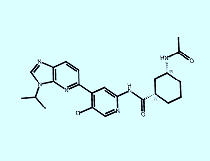 CC(=O)N[C@@H]1CCC[C@H](C(=O)Nc2cc(-c3ccc4ncn(C(C)C)c4n3)c(Cl)cn2)C1